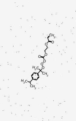 C=CC(=O)OCCOC(=O)OOOC(C)(C)c1ccc(C(C)C)cc1